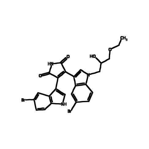 CCOCC(O)Cn1cc(C2=C(c3c[nH]c4ccc(Br)cc34)C(=O)NC2=O)c2cc(Br)ccc21